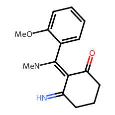 CN/C(=C1\C(=N)CCCC1=O)c1ccccc1OC